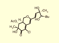 CC[C@H](C)[C@@H](O)[C@](C)(O)/C=C/C1=CC2=C(Cl)C(=O)[C@](C)(O)[C@H](OC(C)=O)[C@H]2CO1